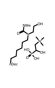 CCCCCCCCCCCCCCCCN(CCO)C(=O)NC.C[N+](C)(C)CC(O)P(=O)(O)O